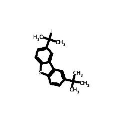 CC(C)(C)c1ccc2sc3ccc(C(C)(C)I)cc3c2c1